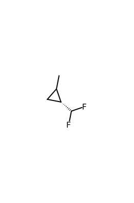 CC1C[C@H]1C(F)F